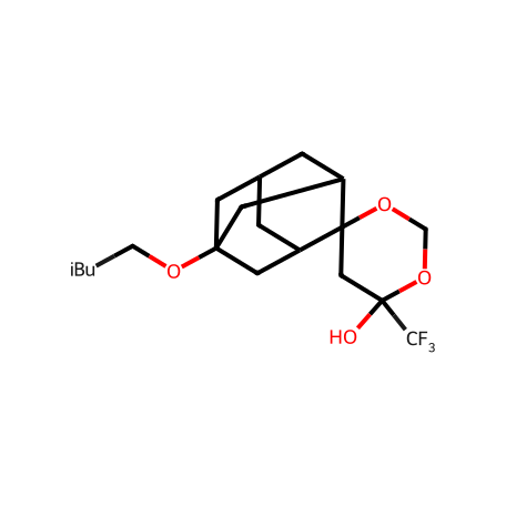 CCC(C)COC12CC3CC(C1)C1(CC(O)(C(F)(F)F)OCO1)C(C3)C2